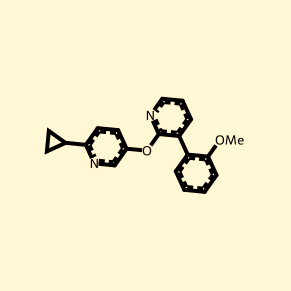 COc1ccccc1-c1cccnc1Oc1ccc(C2CC2)nc1